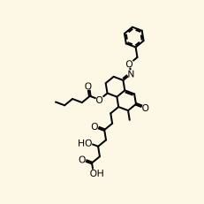 CCCCC(=O)OC1CCC(=NOCc2ccccc2)C2=CC(=O)C(C)C(CCC(=O)CC(O)CC(=O)O)C21